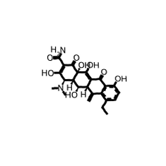 C=C1c2c(CC)ccc(O)c2C(=O)C2=C(O)[C@@]3(O)C(=O)C(C(N)=O)=C(O)[C@H](N(C)C)[C@H]3[C@H](O)[C@@H]12